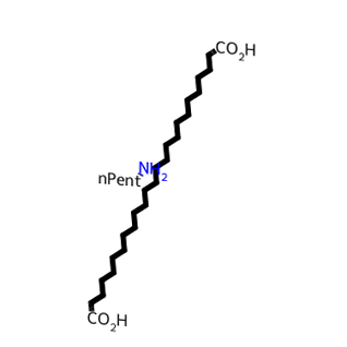 CCCCCN.O=C(O)CCCCCCCCCCCCCCCCCCCCCCCC(=O)O